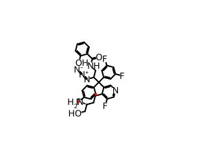 [N-]=[N+]=NC(CNC(=O)c1ccccc1O)C(c1ccc(F)cc1)(c1cc(F)cc(F)c1)c1cncc(F)c1CC[C@H](N)CO